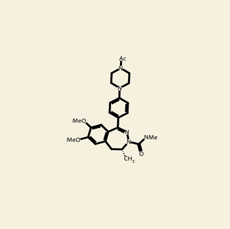 CNC(=O)N1N=C(c2ccc(N3CCN(C(C)=O)CC3)cc2)c2cc(OC)c(OC)cc2C[C@H]1C